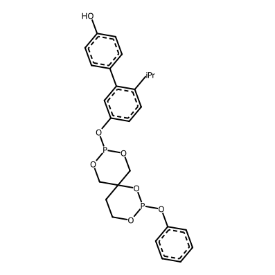 CC(C)c1ccc(OP2OCC3(CCOP(Oc4ccccc4)O3)CO2)cc1-c1ccc(O)cc1